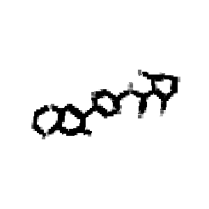 Cc1cc2c(cc1-c1cnc(NC(=O)c3c(F)cccc3F)cn1)OCCO2